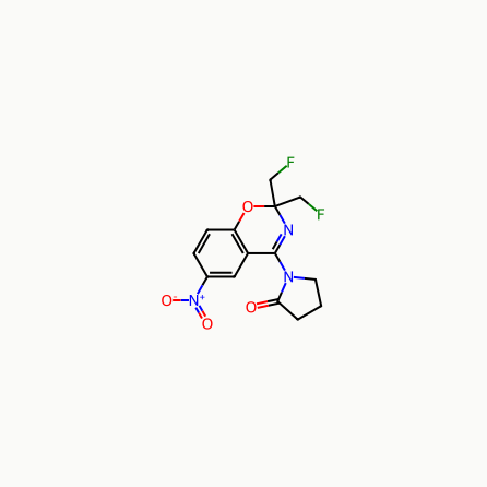 O=C1CCCN1C1=NC(CF)(CF)Oc2ccc([N+](=O)[O-])cc21